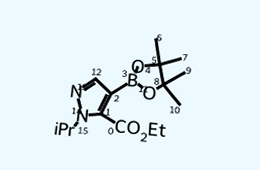 CCOC(=O)c1c(B2OC(C)(C)C(C)(C)O2)cnn1C(C)C